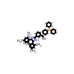 C1CCC(P(C2CCCCC2)C2CCCCC2)CC1.Cc1cc(C)c(C2NC(=C3C=C([CH]=[Ru])C=CC3)NC2c2c(C)cc(C)cc2C)c(C)c1